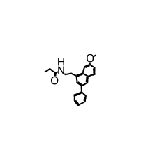 CCC(=O)NCCc1cc(-c2ccccc2)cc2ccc(OC)cc12